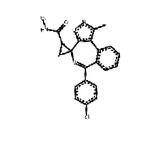 CCNC(=O)C1CC12N=C(c1ccc(Cl)cc1)c1ccccc1-c1c(C)noc12